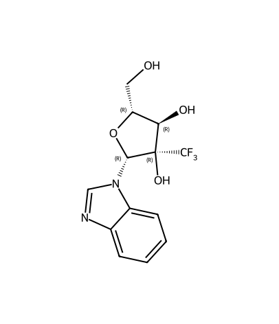 OC[C@H]1O[C@@H](n2cnc3ccccc32)[C@@](O)(C(F)(F)F)[C@@H]1O